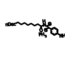 CCCCCCCCCCCCCCCCCC(=O)NS(=O)(=O)c1ccc(N)cc1.P